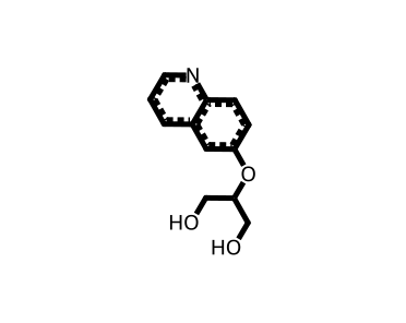 OCC(CO)Oc1ccc2ncccc2c1